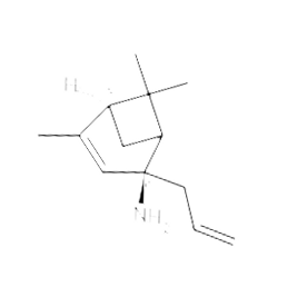 C=CC[C@]1(N)C=C(C)[C@@H]2CC1C2(C)C